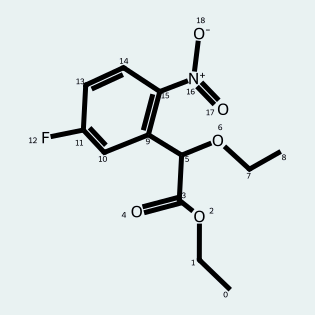 CCOC(=O)C(OCC)c1cc(F)ccc1[N+](=O)[O-]